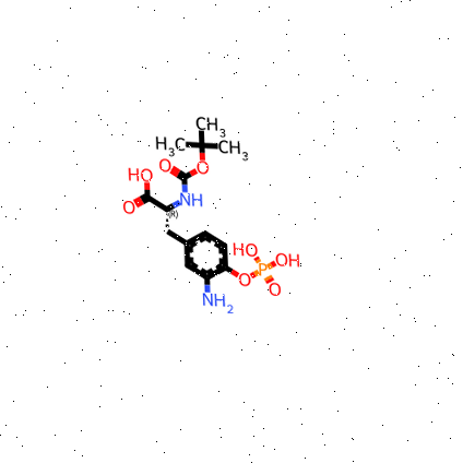 CC(C)(C)OC(=O)N[C@H](Cc1ccc(OP(=O)(O)O)c(N)c1)C(=O)O